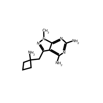 Cn1nc(CC2(N)CCC2)c2c(N)nc(N)nc21